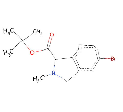 CN1Cc2cc(Br)ccc2C1C(=O)OC(C)(C)C